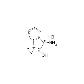 Cl.N[C@@H]1c2ccccc2C2(CC2)[C@H]1O